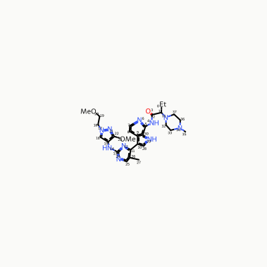 CCC(C(=O)Nc1nccc2c(-c3nc(Nc4cn(CCOC)nc4OC)ncc3C)c[nH]c12)N1CCN(C)CC1